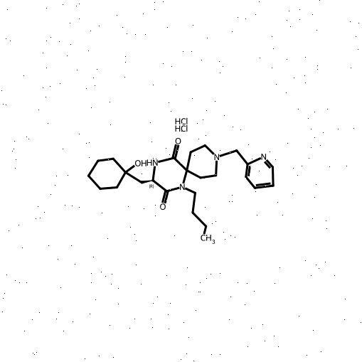 CCCCN1C(=O)[C@@H](CC2(O)CCCCC2)NC(=O)C12CCN(Cc1ccccn1)CC2.Cl.Cl